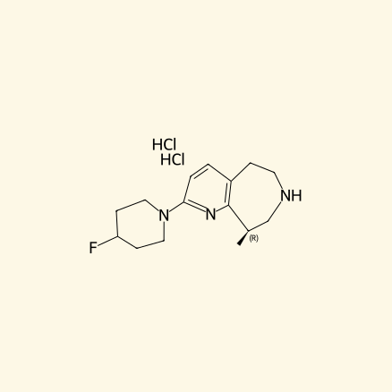 C[C@@H]1CNCCc2ccc(N3CCC(F)CC3)nc21.Cl.Cl